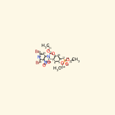 CCOC(=O)N(Cc1ccc(CP(=O)(OCC)OCC)cc1)c1cc(Br)nc(Br)c1[N+](=O)[O-]